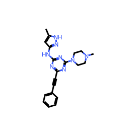 Cc1cc(Nc2nc(C#Cc3ccccc3)nc(N3CCN(C)CC3)n2)n[nH]1